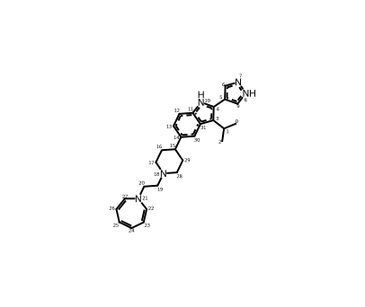 CC(C)c1c(-c2cn[nH]c2)[nH]c2ccc(C3CCN(CCN4C=CC=CC=C4)CC3)cc12